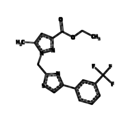 CCOC(=O)c1cc(C)n(Cc2nc(-c3cccc(C(F)(F)F)c3)cs2)n1